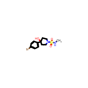 CNS(=O)(=O)N1CCC(O)(c2ccc(Br)cc2)CC1